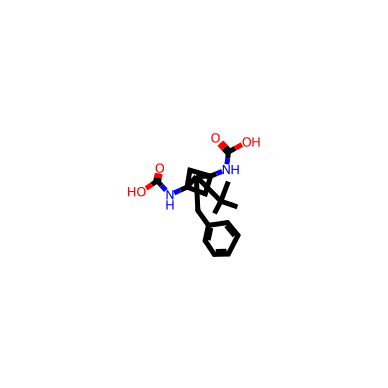 CC(C)(C)C1(Cc2ccccc2)C2(NC(=O)O)CC1(NC(=O)O)C2